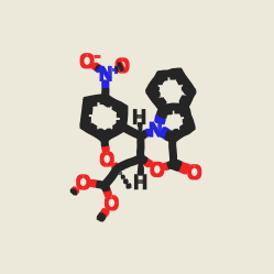 COC(OC)[C@@]1(C)Oc2ccc([N+](=O)[O-])cc2[C@@H]2[C@@H]1OC(=O)c1cc3ccccc3n12